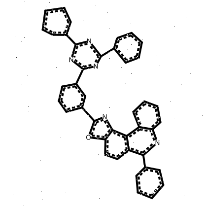 c1ccc(-c2nc(-c3ccccc3)nc(-c3cccc(-c4nc5c(ccc6c(-c7ccccc7)nc7ccccc7c65)o4)c3)n2)cc1